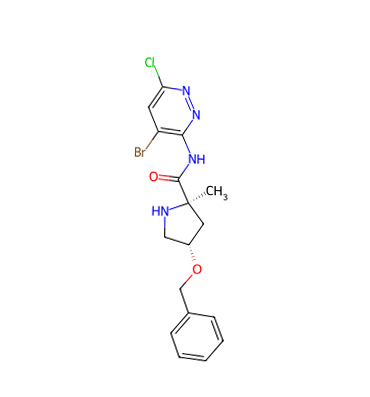 C[C@]1(C(=O)Nc2nnc(Cl)cc2Br)C[C@H](OCc2ccccc2)CN1